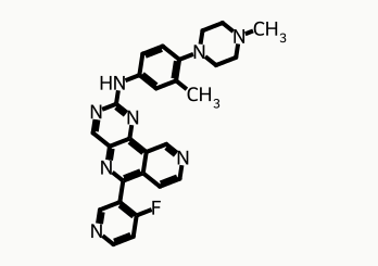 Cc1cc(Nc2ncc3nc(-c4cnccc4F)c4ccncc4c3n2)ccc1N1CCN(C)CC1